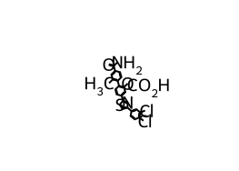 Cc1cc(C(N)=O)ccc1-c1ccc(-c2nc(-c3ccc(Cl)c(Cl)c3)cs2)cc1OC(=O)O